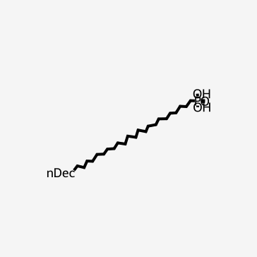 CCCCCCCCCCCCCCCCCCCCCCCCCCCCCCCCCP(=O)(O)O